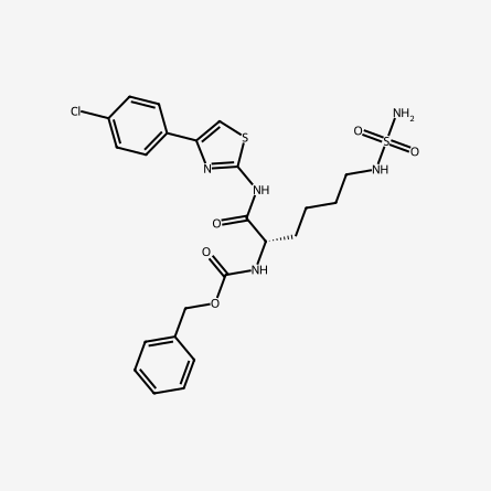 NS(=O)(=O)NCCCC[C@H](NC(=O)OCc1ccccc1)C(=O)Nc1nc(-c2ccc(Cl)cc2)cs1